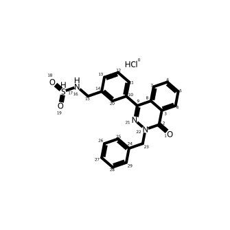 Cl.O=c1c2ccccc2c(-c2cccc(CN[SH](=O)=O)c2)nn1Cc1ccccc1